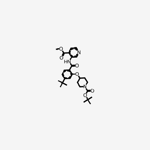 COC(=O)c1ccncc1NC(=O)c1ccc(C(C)(C)C)cc1OC1CCN(C(=O)OC(C)(C)C)CC1